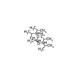 CC(C)[SiH](O[SiH](C)O[SiH](C(C)C)C(C)C)C(C)C